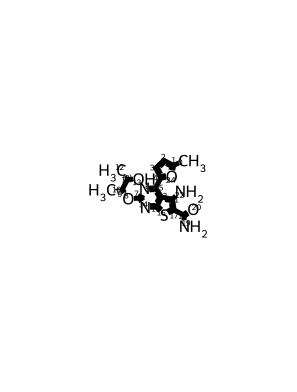 Cc1ccc(-c2nc(O[C@H](C)[C@@H](C)O)nc3sc(C(N)=O)c(N)c23)o1